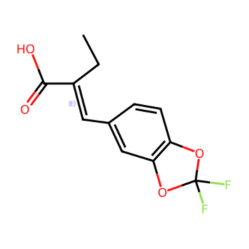 CC/C(=C\c1ccc2c(c1)OC(F)(F)O2)C(=O)O